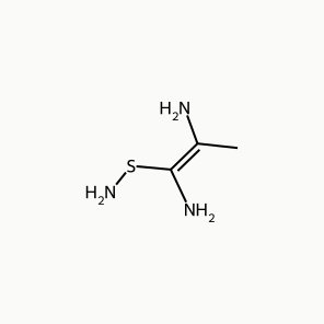 C/C(N)=C(\N)SN